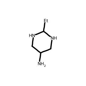 CCC1NCC(N)CN1